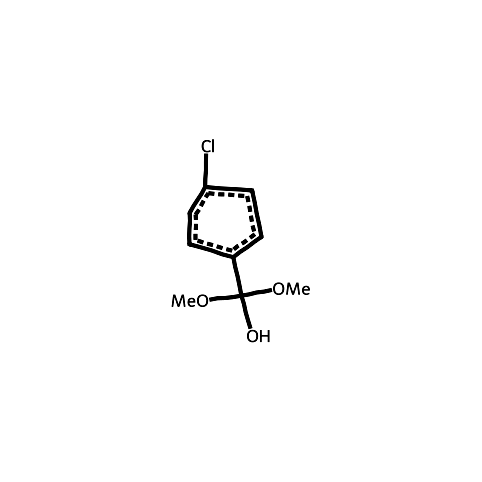 COC(O)(OC)c1ccc(Cl)cc1